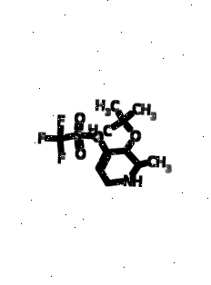 CC1NCC=C(OS(=O)(=O)C(F)(F)F)C1OC(C)(C)C